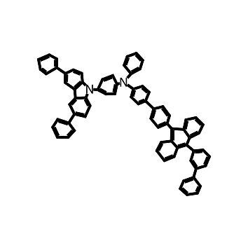 c1ccc(-c2cccc(-c3c4ccccc4c(-c4ccc(-c5ccc(N(c6ccccc6)c6ccc(-n7c8ccc(-c9ccccc9)cc8c8cc(-c9ccccc9)ccc87)cc6)cc5)cc4)c4ccccc34)c2)cc1